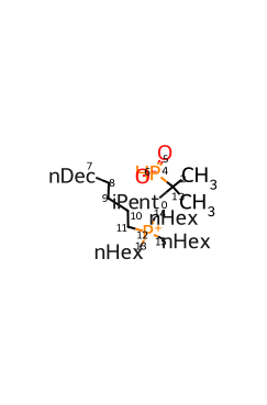 CCCC(C)C(C)(C)[PH](=O)[O-].CCCCCCCCCCCCCC[P+](CCCCCC)(CCCCCC)CCCCCC